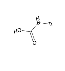 O=C(O)[BH][Ti]